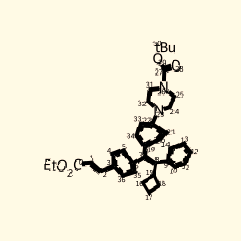 CCOC(=O)C=Cc1ccc(C(=C(c2ccccc2)C2CCC2)c2ccc(N3CCN(C(=O)OC(C)(C)C)CC3)cc2)cc1